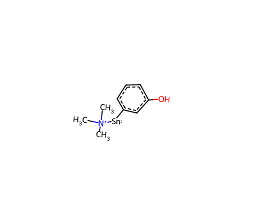 C[N+](C)(C)[Sn][c]1cccc(O)c1